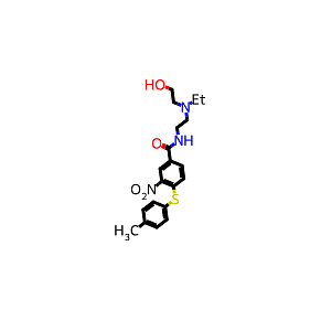 CCN(CCO)CCNC(=O)c1ccc(Sc2ccc(C)cc2)c([N+](=O)[O-])c1